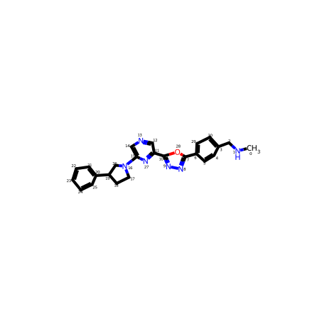 CNCc1ccc(-c2nnc(-c3cncc(N4CCC(c5ccccc5)C4)n3)o2)cc1